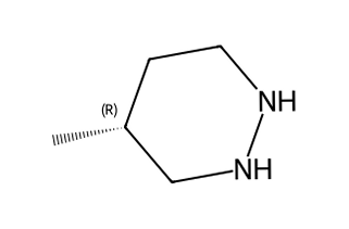 C[C@@H]1CCNNC1